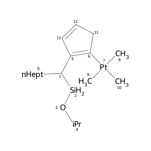 CCCCCCCC([SiH2]OC(C)C)C1=[C]([Pt]([CH3])([CH3])[CH3])CC=C1